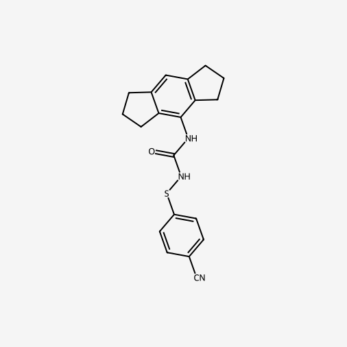 N#Cc1ccc(SNC(=O)Nc2c3c(cc4c2CCC4)CCC3)cc1